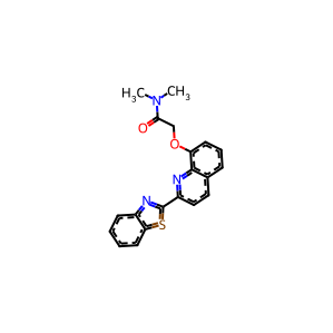 CN(C)C(=O)COc1cccc2ccc(-c3nc4ccccc4s3)nc12